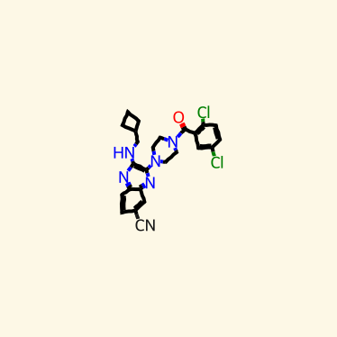 N#Cc1ccc2nc(NCC3CCC3)c(N3CCN(C(=O)c4cc(Cl)ccc4Cl)CC3)nc2c1